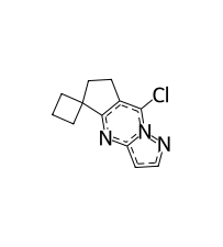 Clc1c2c(nc3ccnn13)C1(CCC1)CC2